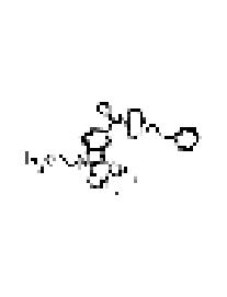 CCCn1c(C)c(C)c2cc(C(=O)N3CCN(CCc4ccccc4)CC3)ccc21